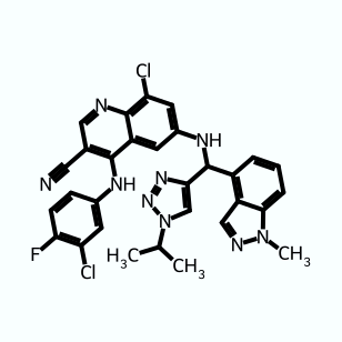 CC(C)n1cc(C(Nc2cc(Cl)c3ncc(C#N)c(Nc4ccc(F)c(Cl)c4)c3c2)c2cccc3c2cnn3C)nn1